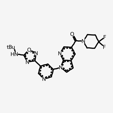 CC(C)(C)Nc1nc(-c2cncc(-n3ccc4cc(C(=O)N5CCC(F)(F)CC5)cnc43)c2)no1